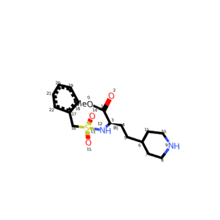 COC(=O)[C@@H](CCC1CCNCC1)NS(=O)(=O)Cc1ccccc1